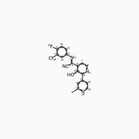 Cc1cc(-c2nccc(/C(C#N)=N/c3ccc(F)c(Cl)c3)c2O)ccn1